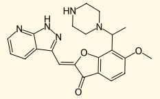 COc1ccc2c(c1C(C)N1CCNCC1)OC(=Cc1n[nH]c3ncccc13)C2=O